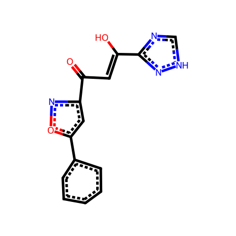 O=C(C=C(O)c1nc[nH]n1)c1cc(-c2ccccc2)on1